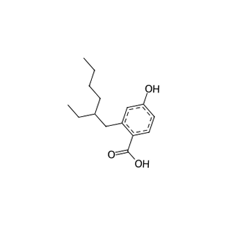 CCCCC(CC)Cc1cc(O)ccc1C(=O)O